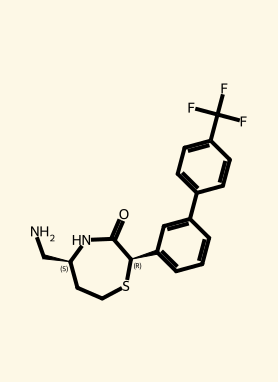 NC[C@@H]1CCS[C@H](c2cccc(-c3ccc(C(F)(F)F)cc3)c2)C(=O)N1